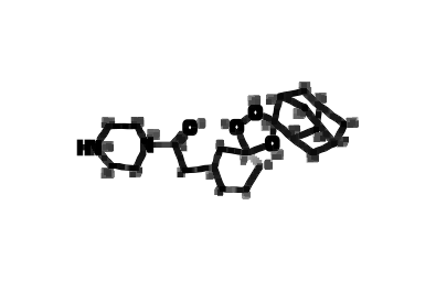 O=C(CC1CCC[C@]2(C1)OOC1(O2)C2CC3CC(C2)CC1C3)N1CCNCC1